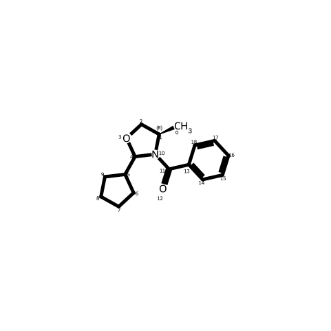 C[C@@H]1COC(C2CCCC2)N1C(=O)c1ccccc1